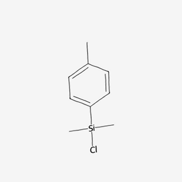 Cc1ccc([Si](C)(C)Cl)cc1